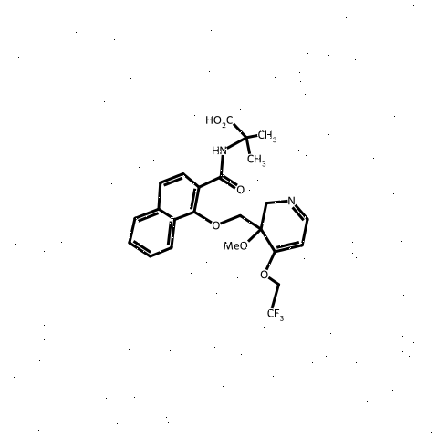 COC1(COc2c(C(=O)NC(C)(C)C(=O)O)ccc3ccccc23)CN=CC=C1OCC(F)(F)F